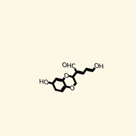 O=C/C(=C\C=C\O)C1COC2=CCC(O)C=C2O1